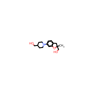 CC1(CO)Cc2ccc(N3CCC(CO)CC3)cc2O1